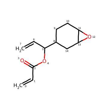 C=CC(=O)OC(C=C)C1CCC2OC2C1